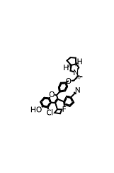 C[C@@H](COc1ccc(C2Oc3ccc(O)c(Cl)c3C(C3CCC3)=C2c2cc(C#N)ccc2F)cc1)N1C[C@H]2CCC[C@H]2C1